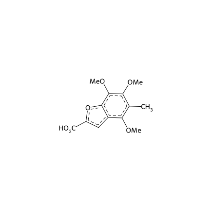 COc1c(C)c(OC)c2cc(C(=O)O)oc2c1OC